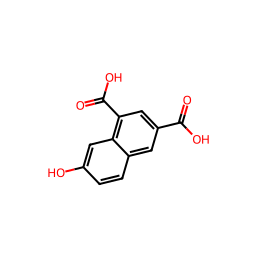 O=C(O)c1cc(C(=O)O)c2cc(O)ccc2c1